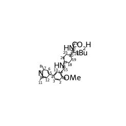 COc1ccc(-c2cc(C)nc(C)c2)cc1CNC1CCC(C(NC(=O)O)C(C)(C)C)CC1